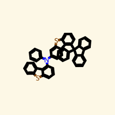 c1ccc(N(c2ccc3c(c2)sc2cccc(C4(c5ccccc5)c5ccccc5-c5ccccc54)c23)c2cccc3sc4ccccc4c23)cc1